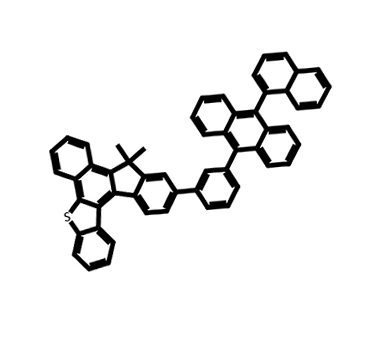 CC1(C)c2cc(-c3cccc(-c4c5ccccc5c(C5=CC=CC6C=CC=CC56)c5ccccc45)c3)ccc2-c2c1c1ccccc1c1sc3ccccc3c21